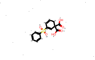 O=C(O)C1(C(=O)O)C=C(S(=O)(=O)c2ccccc2)C=CC1